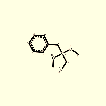 CO[Si](CN)(Cc1ccccc1)OC